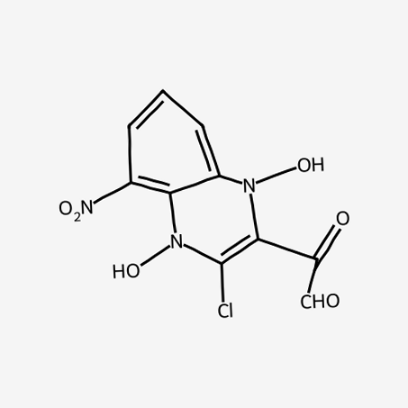 O=CC(=O)C1=C(Cl)N(O)c2c(cccc2[N+](=O)[O-])N1O